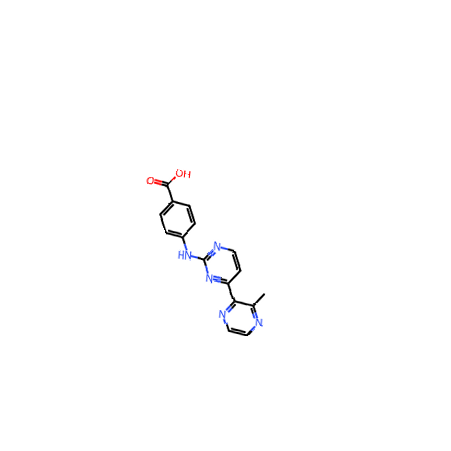 Cc1nccnc1-c1ccnc(Nc2ccc(C(=O)O)cc2)n1